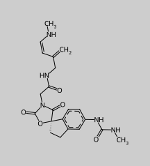 C=C(/C=C\NC)CNC(=O)CN1C(=O)O[C@@]2(CCc3cc(NC(=O)NC)ccc32)C1=O